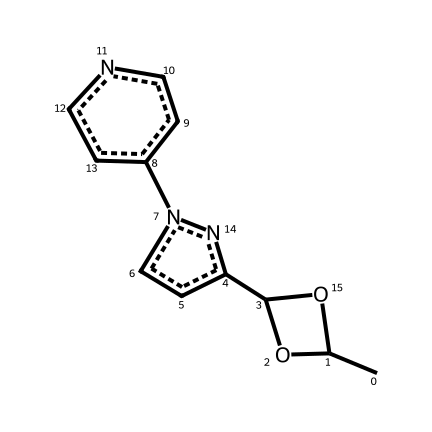 CC1OC(c2ccn(-c3ccncc3)n2)O1